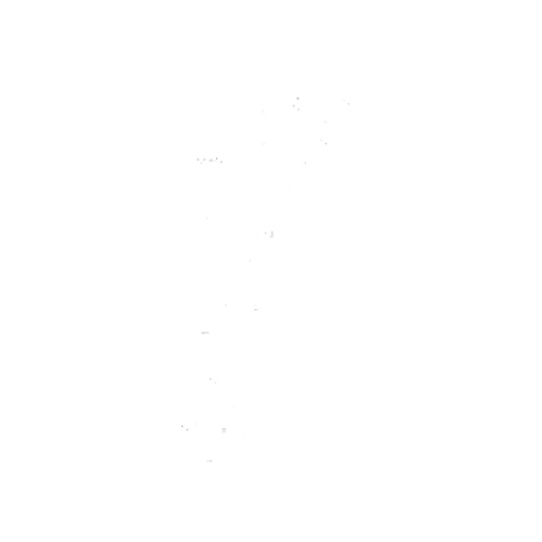 CNc1c(C(=O)NCCc2ccc(N3CCNC(C)(CO)C3)cc2)sc2nc(N)ncc12